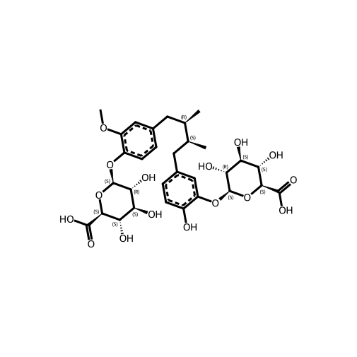 COc1cc(C[C@@H](C)[C@@H](C)Cc2ccc(O)c(O[C@@H]3O[C@H](C(=O)O)[C@@H](O)[C@H](O)[C@H]3O)c2)ccc1O[C@@H]1O[C@H](C(=O)O)[C@@H](O)[C@H](O)[C@H]1O